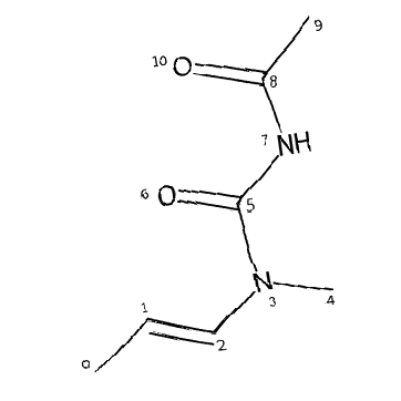 C/C=C/N(C)C(=O)NC(C)=O